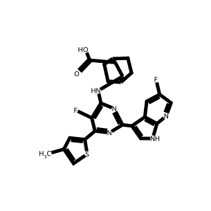 Cc1csc(-c2nc(-c3c[nH]c4ncc(F)cc34)nc(NC3C4CCC(CC4)C3C(=O)O)c2F)c1